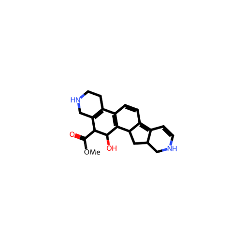 COC(=O)C1C2=C(CCNC2)C2=C(C3CC4CNC=CC4=C3C=C2)C1O